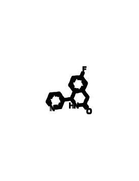 O=C1Cc2cc(F)ccc2C(c2cccnc2)N1